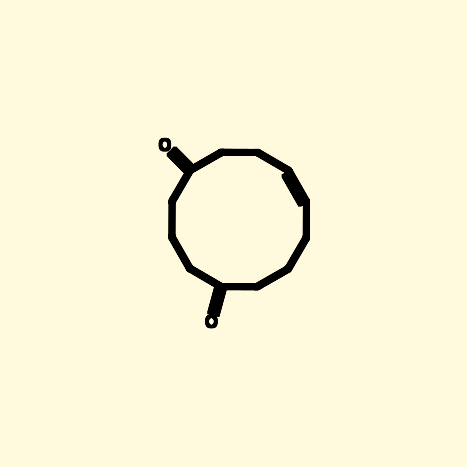 O=C1CC/C=C\CCCC(=O)CCC1